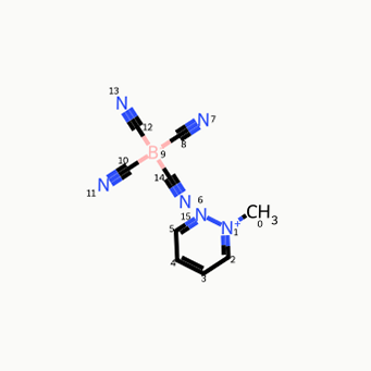 C[n+]1ccccn1.N#C[B-](C#N)(C#N)C#N